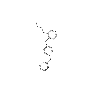 CCCCc1ccccc1Cc1ccc(Cc2ccccc2)cc1